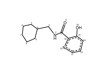 O=C(NCC1CCCCC1)c1ncccc1O